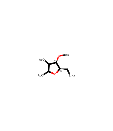 CCCCO[C@@H]1C(OC(C)=O)C(OC(C)=O)O[C@@H]1COC(C)=O